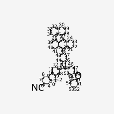 CC1(C)c2cc(C#N)ccc2-c2ccc(N(c3ccc(-c4c5ccccc5c(-c5cccc6ccccc56)c5ccccc45)cc3)c3ccc4oc5ccccc5c4c3)cc21